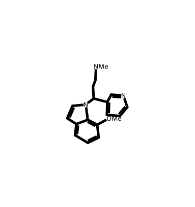 CNCCC(c1cccnc1)n1ccc2cccc(OC)c21